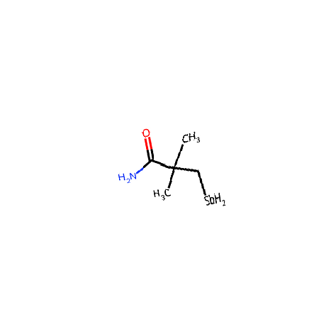 CC(C)([CH2][SbH2])C(N)=O